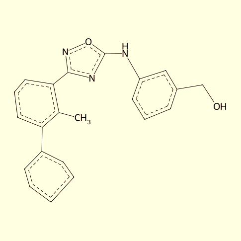 Cc1c(-c2ccccc2)cccc1-c1noc(Nc2cccc(CO)c2)n1